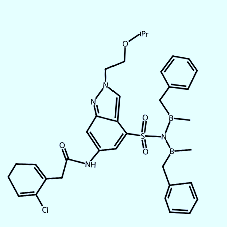 CB(Cc1ccccc1)N(B(C)Cc1ccccc1)S(=O)(=O)c1cc(NC(=O)CC2=CCCC=C2Cl)cc2nn(CCOC(C)C)cc12